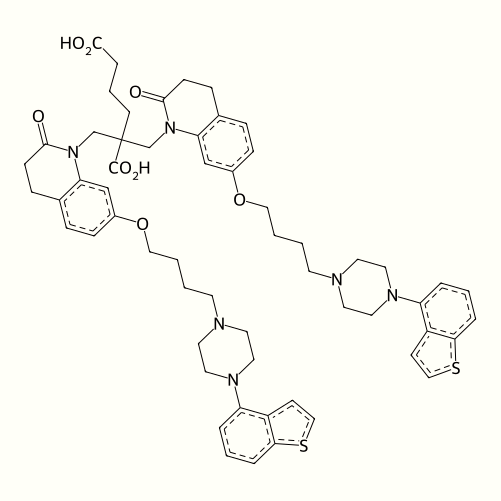 O=C(O)CCCC(CN1C(=O)CCc2ccc(OCCCCN3CCN(c4cccc5sccc45)CC3)cc21)(CN1C(=O)CCc2ccc(OCCCCN3CCN(c4cccc5sccc45)CC3)cc21)C(=O)O